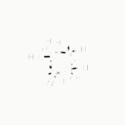 C[Si]1(C)O[Si](C)(C)O[Si](C)(C)O[Si](C)(C)O1.[Ar].[O]